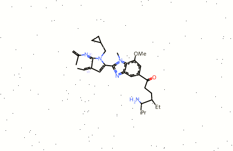 C=C(C)/N=C1\C(=C/C)C=C(c2nc3cc(C(=O)CCC(CC)C(N)C(C)C)cc(OC)c3n2C)N1CC1CC1